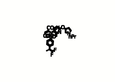 CCCN1CCC(Oc2ccc(N(/C(=C\C(=O)O)C(=O)O)S(=O)(=O)c3ccc([C@H](C)C(F)F)cc3)c(C)n2)C1